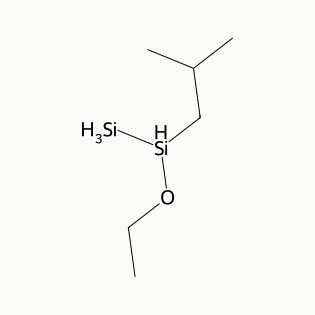 CCO[SiH]([SiH3])CC(C)C